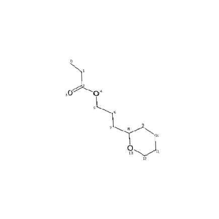 CCC(=O)OCCCC1CCCCO1